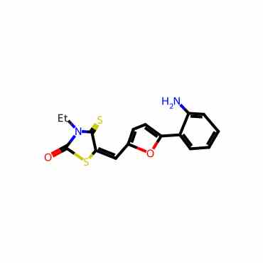 CCN1C(=O)S/C(=C/c2ccc(-c3ccccc3N)o2)C1=S